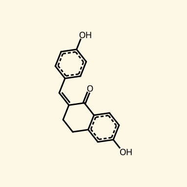 O=C1C(=Cc2ccc(O)cc2)CCc2cc(O)ccc21